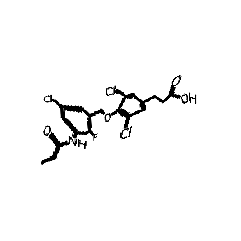 CCC(=O)Nc1cc(Cl)cc(COc2c(Cl)cc(CCC(=O)O)cc2Cl)c1F